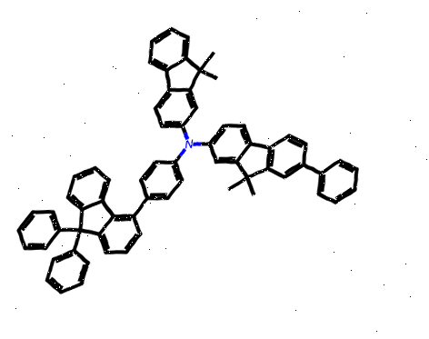 CC1(C)c2ccccc2-c2ccc(N(c3ccc(-c4cccc5c4-c4ccccc4C5(c4ccccc4)c4ccccc4)cc3)c3ccc4c(c3)C(C)(C)c3cc(-c5ccccc5)ccc3-4)cc21